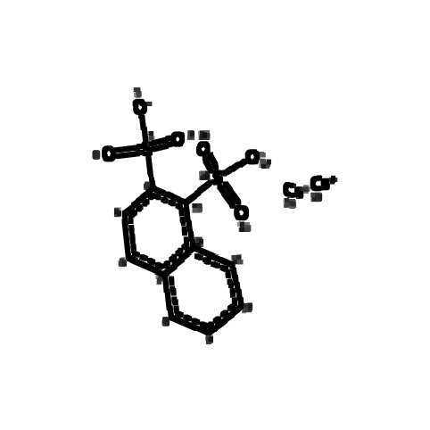 O=S(=O)([O-])c1ccc2ccccc2c1S(=O)(=O)[O-].[Cs+].[Cs+]